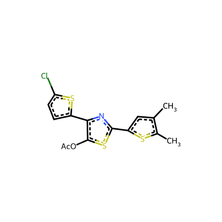 CC(=O)Oc1sc(-c2cc(C)c(C)s2)nc1-c1ccc(Cl)s1